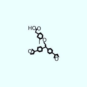 O=C(O)Cc1ccc(OCC=C(c2ccc(-c3ccoc3)cc2)c2ccc(-c3ccoc3)cc2)c(I)c1